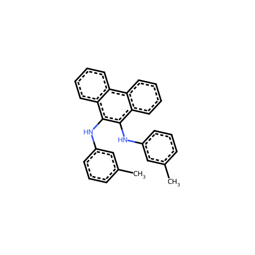 Cc1cccc(Nc2c(Nc3cccc(C)c3)c3ccccc3c3ccccc23)c1